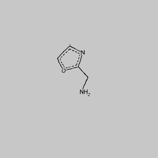 NCc1n[c]co1